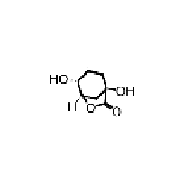 O=C1O[C@@H]2C[C@]1(O)C[CH][C@H]2O